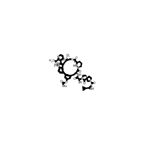 CCn1c(-c2cccnc2[C@H](C)OC)c2c3cc(ccc31)-c1cc(cc(OC(=O)C(C)(C)C)c1)C[C@H](NC(=O)C(C(C)C)N1CC[C@]3(CCN(C(=O)[C@@H]4NC4C4CC4)C3)C1=O)C(=O)N1CCC[C@H](N1)C(=O)OCC(C)(C)C2